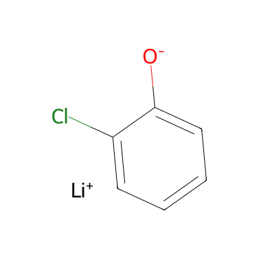 [Li+].[O-]c1ccccc1Cl